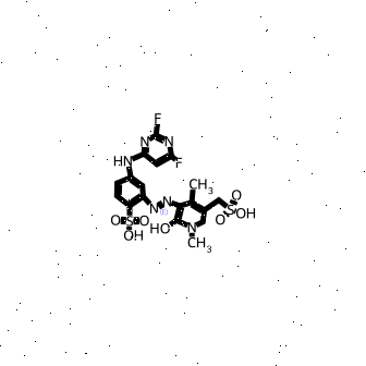 CC1=C(CS(=O)(=O)O)CN(C)C(O)=C1/N=N/c1cc(Nc2cc(F)nc(F)n2)ccc1S(=O)(=O)O